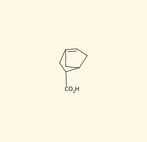 O=C(O)C1CC2=CCC1C2